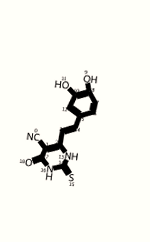 N#Cc1c(C=Cc2ccc(O)c(O)c2)[nH]c(=S)[nH]c1=O